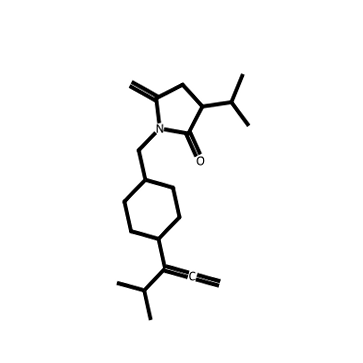 C=C=C(C(C)C)C1CCC(CN2C(=C)CC(C(C)C)C2=O)CC1